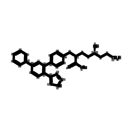 CCCCC(=O)N(CC[C@H](O)CCC(=O)O)Cc1ccc(-c2cc(-c3ccccc3)ccc2-c2nn[nH]n2)cc1